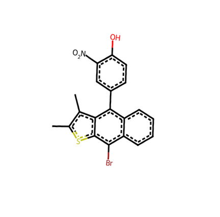 Cc1sc2c(Br)c3ccccc3c(-c3ccc(O)c([N+](=O)[O-])c3)c2c1C